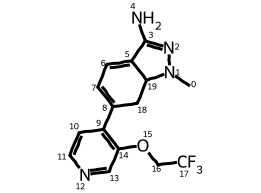 CN1N=C(N)C2=CC=C(c3ccncc3OCC(F)(F)F)CC21